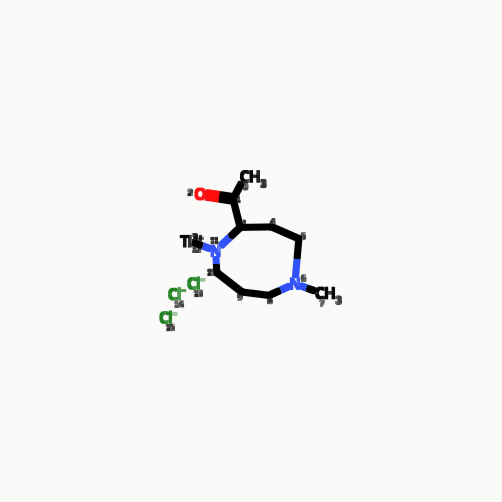 CC(=O)C1CCN(C)CCC[N]1[Ti+3].[Cl-].[Cl-].[Cl-]